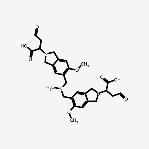 COc1cc2c(cc1CN(C)Cc1cc3c(cc1OC)CN(C(CC=O)C(=O)O)C3)CN(C(CC=O)C(=O)O)C2